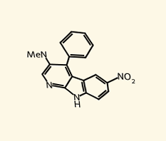 CNc1cnc2[nH]c3ccc([N+](=O)[O-])cc3c2c1-c1ccccc1